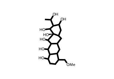 COCC1CCC(O)C2C(O)C3C(CC12)CC1CC(O)C(C(C)O)C(O)[C@@]1(O)C3O